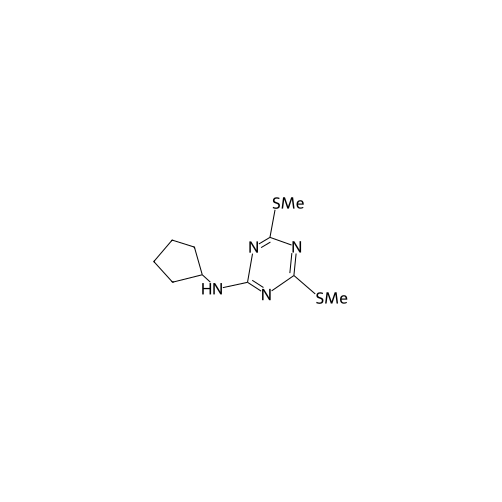 CSc1nc(NC2CCCC2)nc(SC)n1